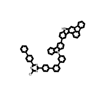 Clc1nc(-c2ccc(-c3ccccc3)cc2)nc(-c2ccc(-c3cccc(-c4cccc(-n5c6ccccc6c6cc(-c7ccc8[nH]c9cc%10c%11c(cccc%11c9c8c7)-c7ccccc7-%10)ccc65)c4)c3)cc2)n1